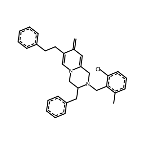 C=C1C=C2CN(Cc3c(C)cccc3Cl)C(Cc3ccccc3)CN2C=C1CCc1ccccc1